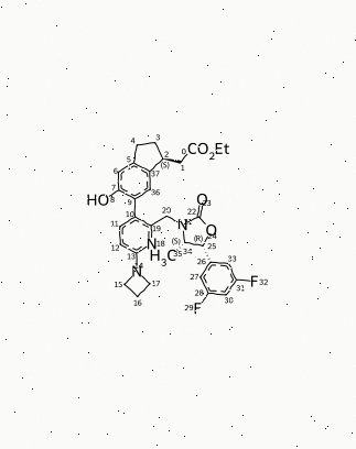 CCOC(=O)C[C@@H]1CCc2cc(O)c(-c3ccc(N4CCC4)nc3CN3C(=O)O[C@H](c4cc(F)cc(F)c4)[C@@H]3C)cc21